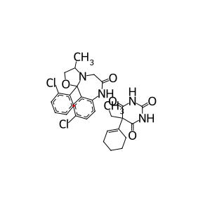 CC1COC2(c3ccccc3Cl)c3cc(Cl)ccc3NC(=O)CN12.CCC1(C2=CCCCC2)C(=O)NC(=O)NC1=O